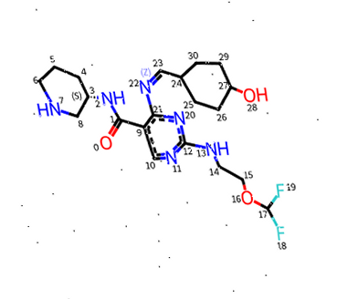 O=C(N[C@H]1CCCNC1)c1cnc(NCCOC(F)F)nc1/N=C\C1CCC(O)CC1